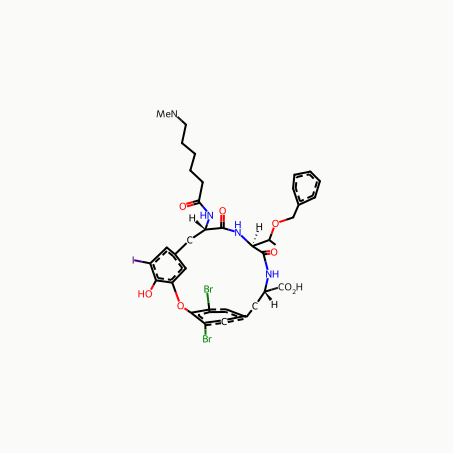 CNCCCCCC(=O)N[C@H]1Cc2cc(I)c(O)c(c2)Oc2c(Br)cc(cc2Br)C[C@@H](C(=O)O)NC(=O)[C@H](C(C)OCc2ccccc2)NC1=O